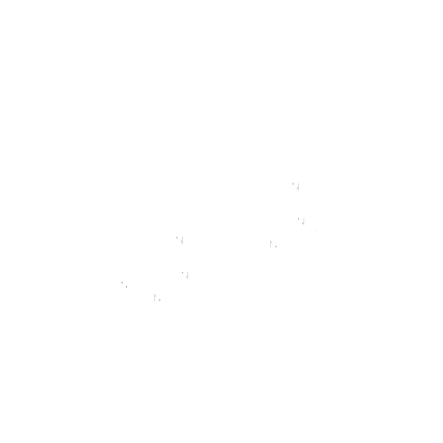 Nc1ncc(-c2ccnc(Nc3ccncn3)c2)cc1C(=O)NC1CCC1